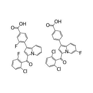 O=C(O)c1ccc(-c2cc(C(=O)c3c(Cl)cccc3Cl)n3cc(F)ccc23)cc1.O=C(O)c1ccc(-c2cc(C(=O)c3c(F)cccc3Cl)n3ccccc23)c(F)c1